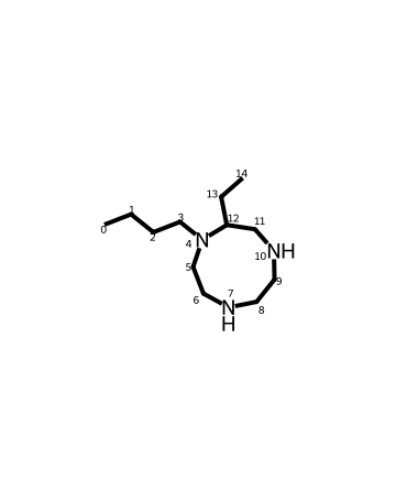 CCCCN1CCNCCNCC1CC